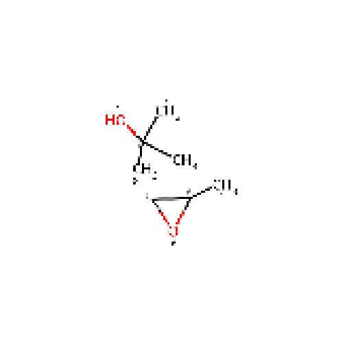 CC(C)(C)O.CC1CO1